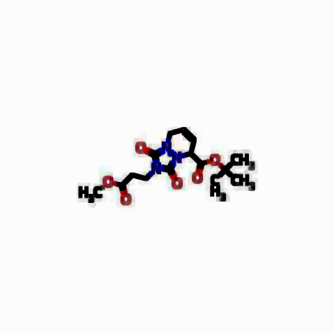 COC(=O)CCn1c(=O)n2n(c1=O)C(C(=O)OC(C)(C)C)C=CC2